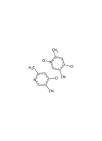 Cc1cc(Cl)c(C#N)c[n+]1[O-].Cc1cc(Cl)c(C#N)cn1